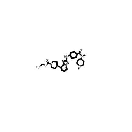 CN1CCC(N(C)C(=O)c2ccc(Nc3nc4c(C5=CCN(C(=O)OCC(F)(F)F)CC5)cccn4n3)cc2)CC1